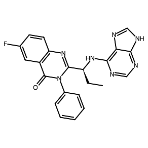 CC[C@H](Nc1ncnc2[nH]cnc12)c1nc2ccc(F)cc2c(=O)n1-c1ccccc1